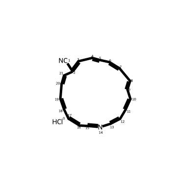 Cl.N#CC1=CC=CC=CC=CC=CC=CN=CC=CC=CC=C1